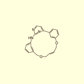 C1=C/COc2cccc(c2)-c2ccnc(n2)Nc2cccc(c2)COC/1